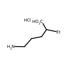 CCC(CCCN)C(=O)O.Cl